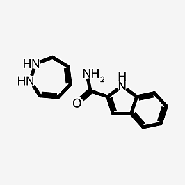 C1=CCNNC=C1.NC(=O)c1cc2ccccc2[nH]1